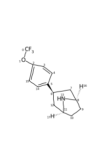 FC(F)(F)Oc1ccc([C@H]2C[C@H]3CC[C@@H](C2)N3)cc1